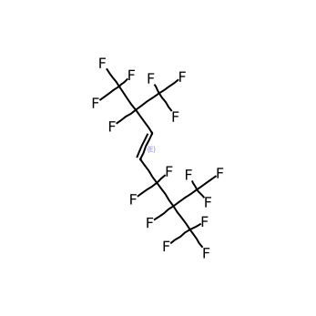 FC(F)(F)C(F)(/C=C/C(F)(F)C(F)(C(F)(F)F)C(F)(F)F)C(F)(F)F